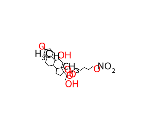 C[C@]12C=CC(=O)C=C1CCC1C3CC[C@](OC(=O)CCCCCO[N+](=O)[O-])(C(=O)CO)[C@@]3(C)C[C@H](O)[C@@H]12